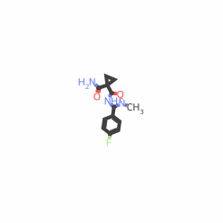 CN1OC(C2(C(N)=O)CC2)NC1c1ccc(F)cc1